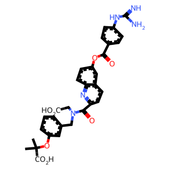 CC(C)(Oc1cccc(CN(CC(=O)O)C(=O)c2ccc3cc(OC(=O)c4ccc(NC(=N)N)cc4)ccc3n2)c1)C(=O)O